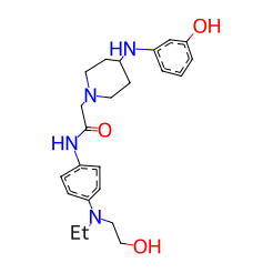 CCN(CCO)c1ccc(NC(=O)CN2CCC(Nc3cccc(O)c3)CC2)cc1